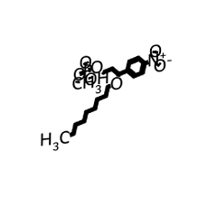 CCCCCCCCCOC(CCOP(=O)(O)OC)c1ccc([N+](=O)[O-])cc1